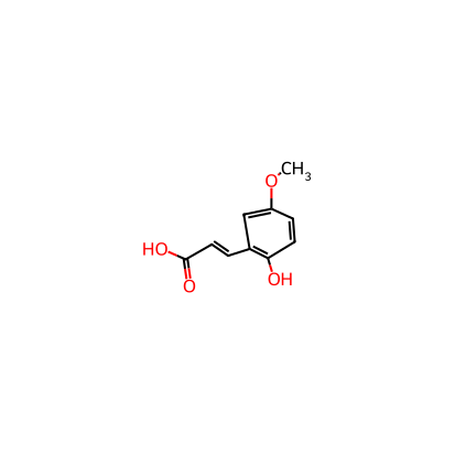 COc1ccc(O)c(C=CC(=O)O)c1